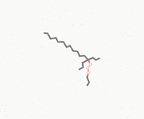 CCCCCCCCCCCCC(CCC)(CCC)OOOCCC